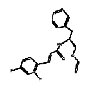 O=COC[C@H](Cc1ccccc1)NC(=O)/C=C/c1ccc(F)cc1F